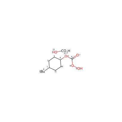 CC(C)(C)C1CCC(OC(=O)OO)CC1.O=C(O)O